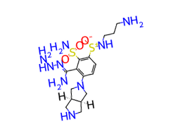 NCCCN[S+]([O-])c1ccc(N2C[C@H]3CNC[C@H]3C2)c(/C(N)=N/NN)c1S(N)(=O)=O